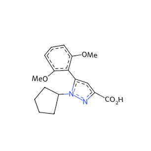 COc1cccc(OC)c1-c1cc(C(=O)O)nn1C1CCCC1